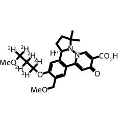 [2H]C([2H])(OC)C([2H])([2H])C([2H])([2H])Oc1cc2c(cc1COC)-c1cc(=O)c(C(=O)O)cn1N1[C@@H]2CCC1(C)C